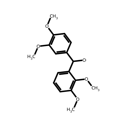 COc1ccc(C([O])c2cccc(OC)c2OC)cc1OC